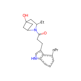 CCCc1cccc2[nH]cc(CCC(=O)N3C(CC)CC4(O)CC3C4)c12